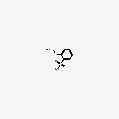 CCCCCOc1ccccc1S(N)(=O)=O